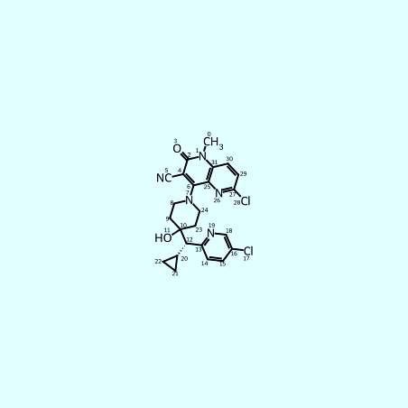 Cn1c(=O)c(C#N)c(N2CCC(O)([C@H](c3ccc(Cl)cn3)C3CC3)CC2)c2nc(Cl)ccc21